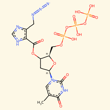 Cc1cn([C@H]2CC(OC(=O)c3[nH]cnc3CN=[N+]=[N-])[C@@H](COP(=O)(O)OP(=O)(O)OP(=O)(O)O)O2)c(=O)[nH]c1=O